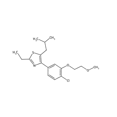 CCc1nc(-c2ccc(Cl)c(OCCOC)c2)c(CC(C)C)s1